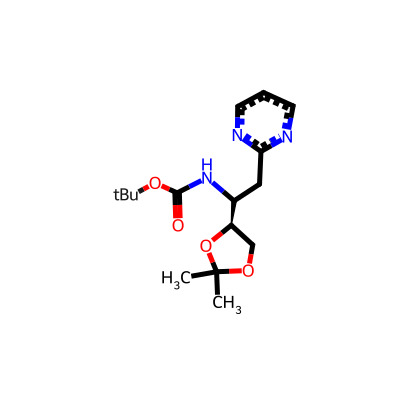 CC(C)(C)OC(=O)NC(Cc1ncccn1)[C@H]1COC(C)(C)O1